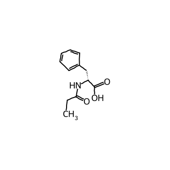 CCC(=O)N[C@H](Cc1ccccc1)C(=O)O